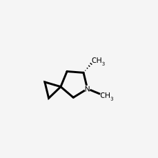 C[C@H]1CC2(CC2)CN1C